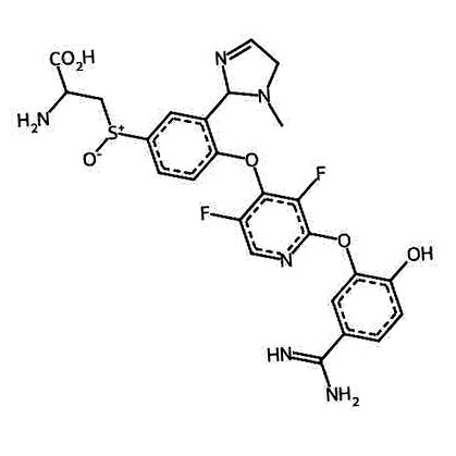 CN1CC=NC1c1cc([S+]([O-])CC(N)C(=O)O)ccc1Oc1c(F)cnc(Oc2cc(C(=N)N)ccc2O)c1F